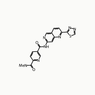 CNC(=O)c1ccc(C(=O)Nc2cc3nc(-c4nncs4)ccc3cn2)cn1